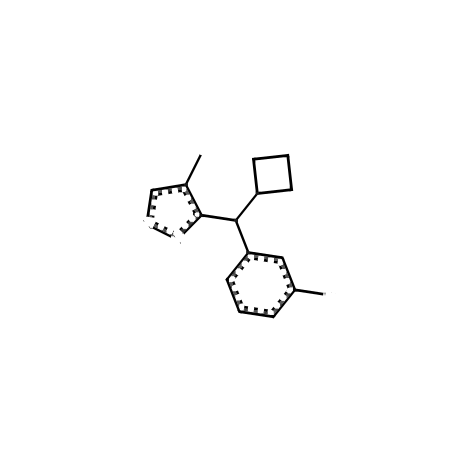 Cc1c[nH]nc1C(c1cccc(Br)c1)C1CCC1